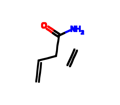 C=C.C=CCC(N)=O